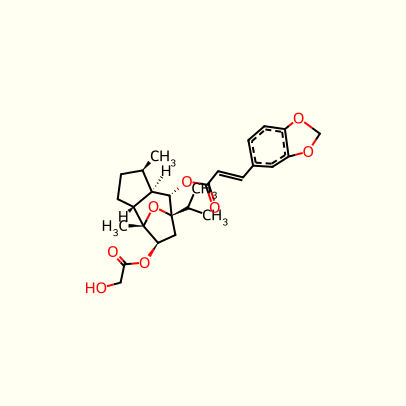 CC(C)[C@@]12C[C@@H](OC(=O)CO)[C@@](C)(O1)[C@@H]1CC[C@@H](C)[C@H]1[C@@H]2OC(=O)/C=C/c1ccc2c(c1)OCO2